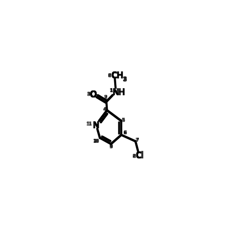 CNC(=O)c1cc(CCl)ccn1